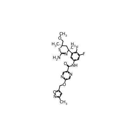 COC[C@@]1(C)C[C@@](C)(c2cc(NC(=O)c3cnc(OCc4cc(C)no4)cn3)cc(F)c2F)N=C(N)S1